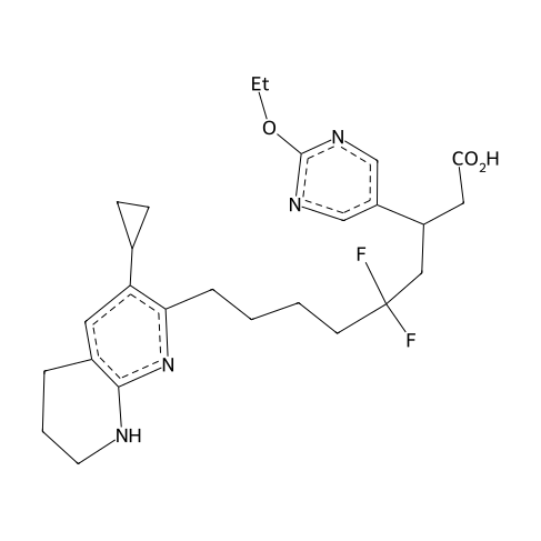 CCOc1ncc(C(CC(=O)O)CC(F)(F)CCCCc2nc3c(cc2C2CC2)CCCN3)cn1